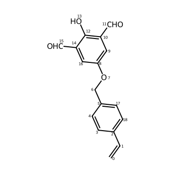 C=Cc1ccc(COc2cc(C=O)c(O)c(C=O)c2)cc1